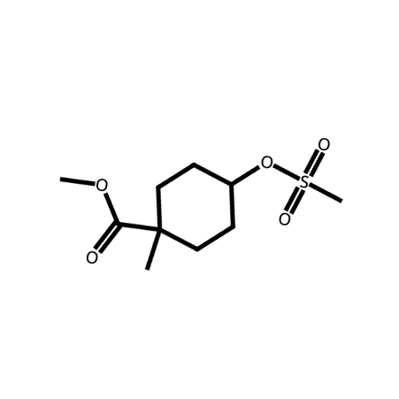 COC(=O)C1(C)CCC(OS(C)(=O)=O)CC1